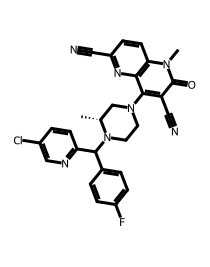 C[C@@H]1CN(c2c(C#N)c(=O)n(C)c3ccc(C#N)nc23)CCN1C(c1ccc(F)cc1)c1ccc(Cl)cn1